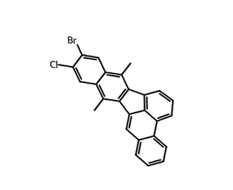 Cc1c2c(c(C)c3cc(Br)c(Cl)cc13)-c1cccc3c1c-2cc1ccccc13